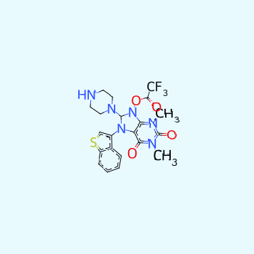 Cn1c2c(c(=O)n(C)c1=O)N(c1csc3ccccc13)C(N1CCNCC1)N2OC(=O)C(F)(F)F